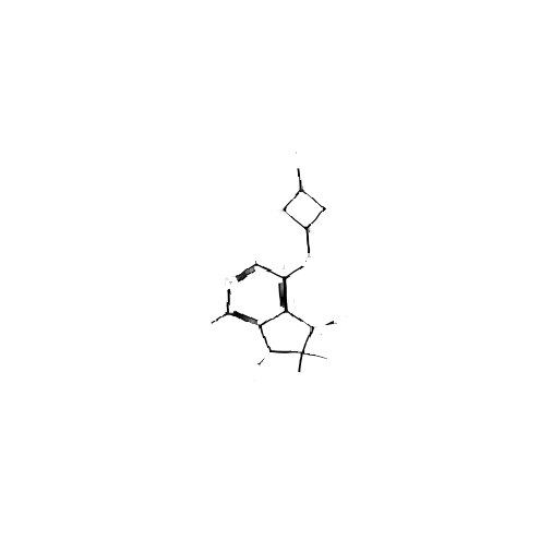 Cc1ncc(OC2CC(F)C2)c2c1[C@H](O)C(F)(F)[C@@H]2F